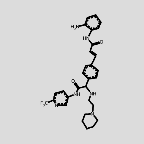 Nc1ccccc1NC(=O)C=Cc1ccc(C(NCCN2CCCCC2)C(=O)Nc2ccc(C(F)(F)F)nc2)cc1